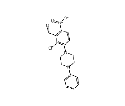 O=Cc1c([N+](=O)[O-])ccc(N2CCN(c3ccccc3)CC2)c1Cl